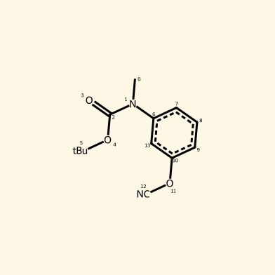 CN(C(=O)OC(C)(C)C)c1cccc(OC#N)c1